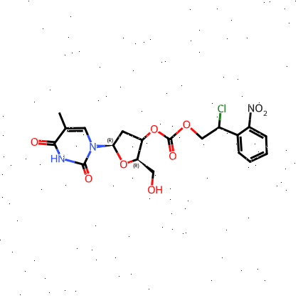 Cc1cn([C@H]2CC(OC(=O)OCC(Cl)c3ccccc3[N+](=O)[O-])[C@@H](CO)O2)c(=O)[nH]c1=O